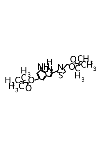 CC(C)(C)C(=O)OCc1cc(N)c2[nH]c(C3=NC(COC(=O)C(C)(C)C)CS3)cc2c1